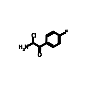 NC(Cl)C(=O)c1ccc(F)cc1